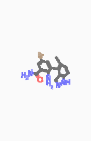 Cc1ccc2[nH]ncc2c1-c1cc(Br)cc(C(N)=O)c1N